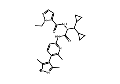 CCn1nccc1C(=O)N[C@H](C(=O)Nc1ccc(-c2c(C)n[nH]c2C)c(C)n1)C(C1CC1)C1CC1